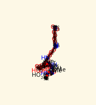 CCC(C)[C@@H]([C@@H](CC(=O)N1CCC[C@H]1[C@H](OC)[C@@H](C)C(=O)NC(Cc1ccccc1)C(=O)O)OC)N(C)C(=O)[C@@H](NC(=O)[C@H](C(C)C)N(C)C(=O)OCc1ccc(O[C@@H]2O[C@H](CO)[C@H](O)[C@H](O)[C@H]2O)c2cc(CCCC(=O)NCCOCCOCCOCCn3cc(COCCOCCOCCOCCN4C(=O)C=CC4=O)nn3)oc12)C(C)C